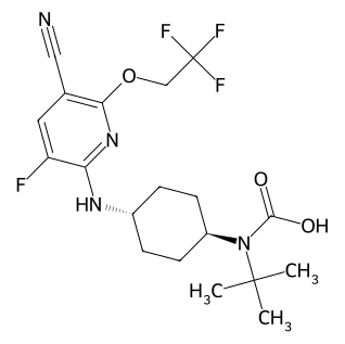 CC(C)(C)N(C(=O)O)[C@H]1CC[C@H](Nc2nc(OCC(F)(F)F)c(C#N)cc2F)CC1